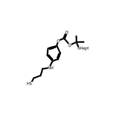 CCCCCCCC(C)(C)OC(=O)Oc1ccc(NCCCS)cc1